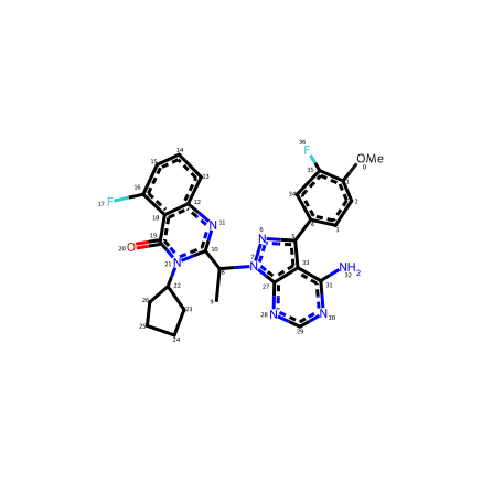 COc1ccc(-c2nn(C(C)c3nc4cccc(F)c4c(=O)n3C3CCCC3)c3ncnc(N)c23)cc1F